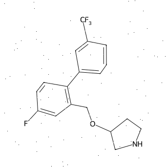 Fc1ccc(-c2cccc(C(F)(F)F)c2)c(COC2CCNC2)c1